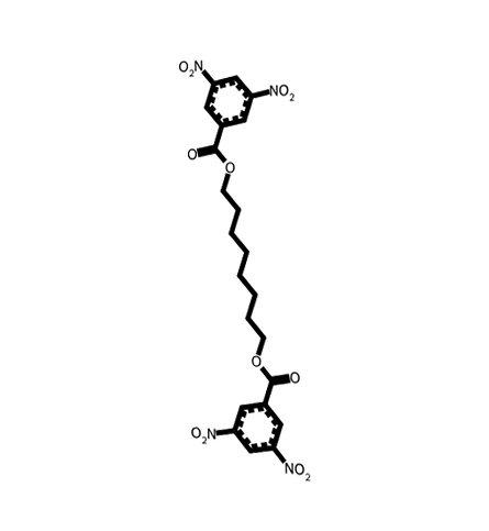 O=C(OCCCCCCCCOC(=O)c1cc([N+](=O)[O-])cc([N+](=O)[O-])c1)c1cc([N+](=O)[O-])cc([N+](=O)[O-])c1